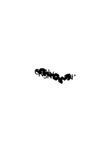 CCN(CCn1cc[n+](C)c1)c1ccc(/N=N/c2nc3ccc(OC)nc3s2)cc1